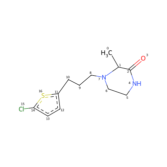 CC1C(=O)NCCN1CCCc1ccc(Cl)s1